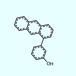 Oc1cccc(-c2cccc3cc4ccccc4cc23)c1